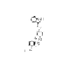 COc1cccc(S(=O)(=O)NC2CCN(CCc3c[nH]c4ccccc34)CC2)c1